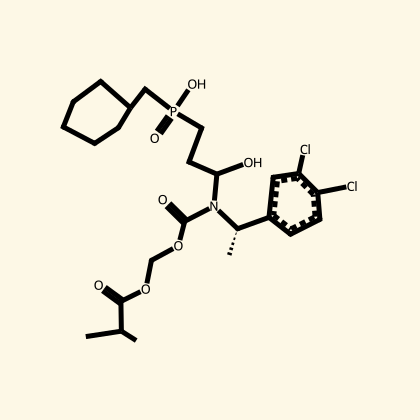 CC(C)C(=O)OCOC(=O)N(C(O)CCP(=O)(O)CC1CCCCC1)[C@@H](C)c1ccc(Cl)c(Cl)c1